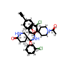 C#Cc1ccc(OC2CCN(C(C)=O)CC2)c([C@H]2NC(=O)C[C@@H](c3cccc(Cl)c3)[C@]23C(=O)Nc2cc(Cl)ccc23)c1